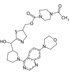 CC(=O)N1CCN(C(=O)OCC2CN=C(C(O)C3CCCN(c4ncnc5cc(N6CCOCC6)ccc45)C3)S2)CC1